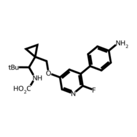 CC(C)(C)C(NC(=O)O)C1(COc2cnc(F)c(-c3ccc(N)cc3)c2)CC1